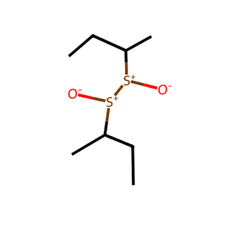 CCC(C)[S+]([O-])[S+]([O-])C(C)CC